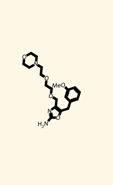 COc1cccc(Cc2oc(N)nc2COCCOCCN2CCOCC2)c1